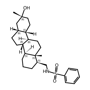 C[C@@]1(O)CC[C@H]2[C@H](CC[C@@H]3[C@@H]2CC[C@]2(C)[C@@H](CNS(=O)(=O)c4ccccc4)CCC[C@@H]32)C1